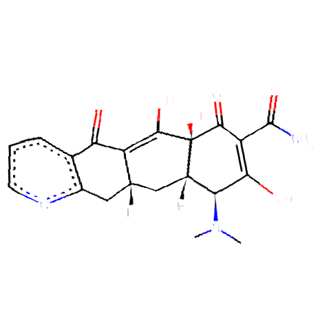 CN(C)[C@@H]1C(O)=C(C(N)=O)C(=O)[C@@]2(O)C(O)=C3C(=O)c4cccnc4C[C@H]3C[C@@H]12